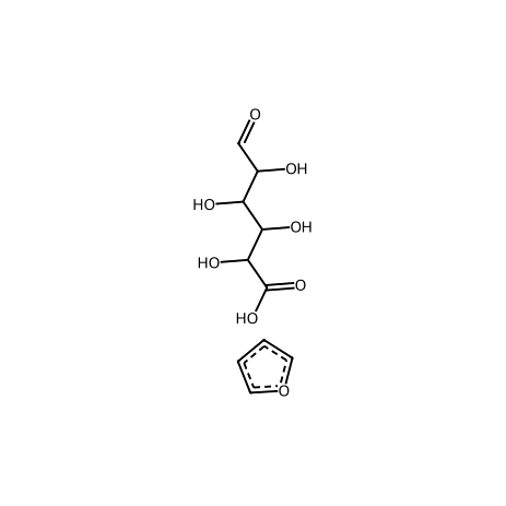 O=CC(O)C(O)C(O)C(O)C(=O)O.c1ccoc1